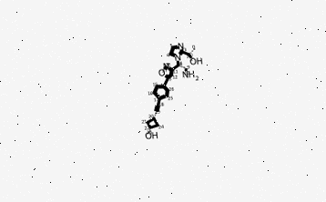 C[C@H](O)c1nccn1[C@H](CN)c1cc(-c2ccc(C#C[C@H]3C[C@@H](O)C3)cc2)on1